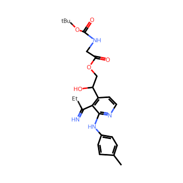 CCC(=N)c1c(C(O)COC(=O)CNC(=O)OC(C)(C)C)ccnc1Nc1ccc(C)cc1